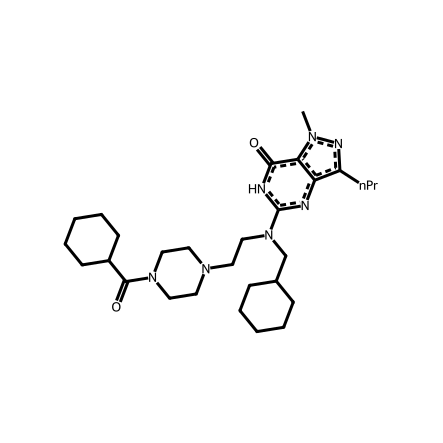 CCCc1nn(C)c2c(=O)[nH]c(N(CCN3CCN(C(=O)C4CCCCC4)CC3)CC3CCCCC3)nc12